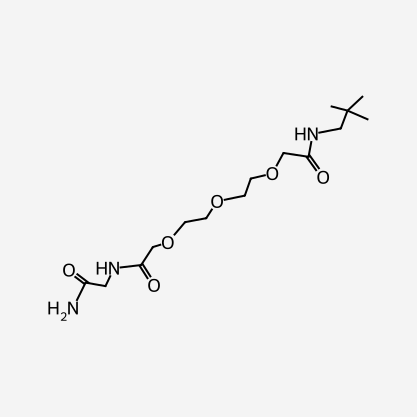 CC(C)(C)CNC(=O)COCCOCCOCC(=O)NCC(N)=O